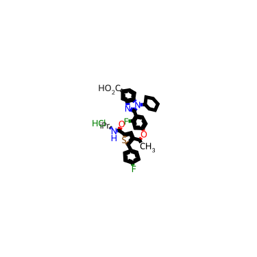 CC(C)NC(=O)c1cc(C(C)Oc2ccc(-c3nc4cc(C(=O)O)ccc4n3C3CCCCC3)c(F)c2)c(-c2ccc(F)cc2)s1.Cl